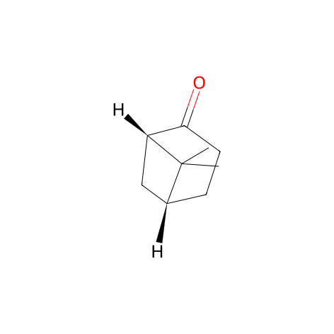 CC1(C)[C@@H]2CCC(=O)[C@H]1C2